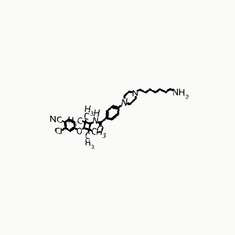 CC1(C)C(NC(=O)c2ccc(N3CCN(CCCCCCCN)CC3)cc2)C(C)(C)C1Oc1ccc(C#N)c(Cl)c1